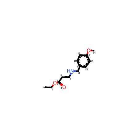 CCOC(=O)CCNCc1ccc(OC)cc1